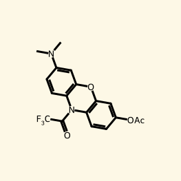 CC(=O)Oc1ccc2c(c1)Oc1cc(N(C)C)ccc1N2C(=O)C(F)(F)F